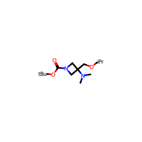 CC(C)OCC1(N(C)C)CN(C(=O)OC(C)(C)C)C1